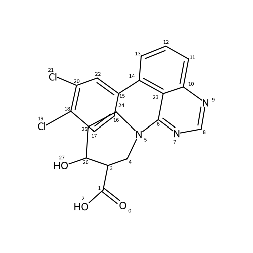 O=C(O)C1CN(c2ncnc3cccc(-c4ccc(Cl)c(Cl)c4)c23)CCC1O